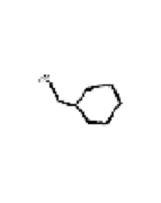 SCC1CC[CH]CC1